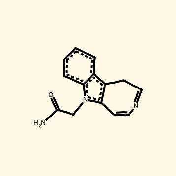 NC(=O)Cn1c2c(c3ccccc31)CC=NC=C2